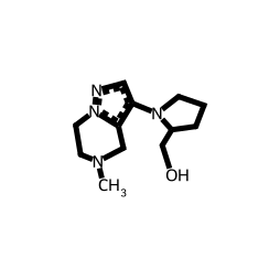 CN1CCn2ncc(N3CCCC3CO)c2C1